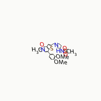 COc1ccc(-c2cn(C)c(=O)c3cc(CN4CCC(NS(C)(=O)=O)C4)sc23)cc1OC